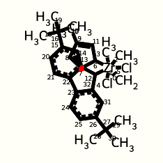 [CH2]=[Zr]([CH3])([CH3])([Cl])([Cl])([CH]1C=CC(C)=C1)[CH]1c2cc(C(C)(C)C)ccc2-c2ccc(C(C)(C)C)cc21